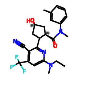 CCN(C)c1cc(C(F)(F)F)c(C#N)c(C2C[C@@H](O)C[C@H]2C(=O)N(C)c2cccc(C)c2)n1